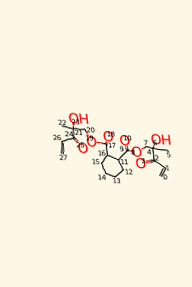 C=CC(=O)C(C)(O)COC(=O)C1CCCCC1C(=O)OCC(C)(O)C(=O)C=C